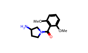 COc1cccc(OC)c1C(=O)N1CCC(N)C1